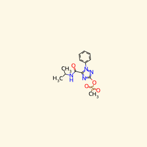 CC(C)NC(=O)c1nc(OS(C)(=O)=O)nn1-c1ccccc1